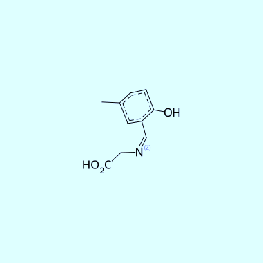 Cc1ccc(O)c(/C=N\CC(=O)O)c1